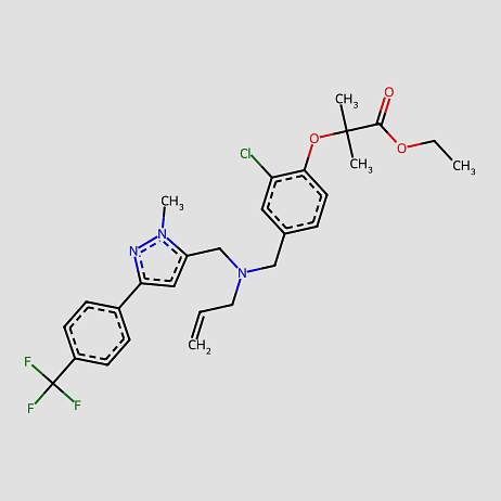 C=CCN(Cc1ccc(OC(C)(C)C(=O)OCC)c(Cl)c1)Cc1cc(-c2ccc(C(F)(F)F)cc2)nn1C